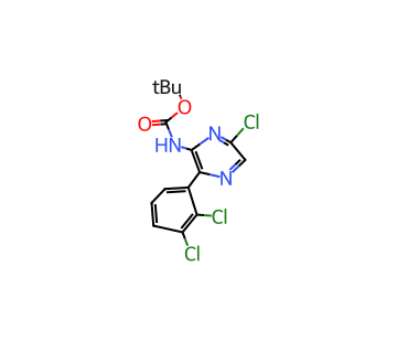 CC(C)(C)OC(=O)Nc1nc(Cl)cnc1-c1cccc(Cl)c1Cl